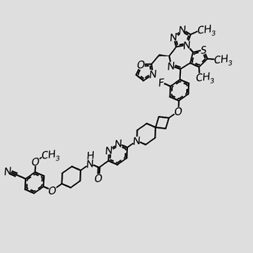 COc1cc(OC2CCC(NC(=O)c3ccc(N4CCC5(CC4)CC(Oc4ccc(C6=N[C@@H](Cc7ncco7)c7nnc(C)n7-c7sc(C)c(C)c76)c(F)c4)C5)nn3)CC2)ccc1C#N